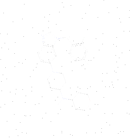 C[C@H](c1ccc(Cl)cc1Cl)n1cnc2ccc(N3CCC(N(C)C4CCOCC4)CC3)cc21